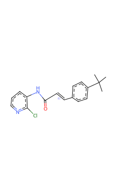 CC(C)(C)c1ccc(/C=C/C(=O)Nc2cccnc2Cl)cc1